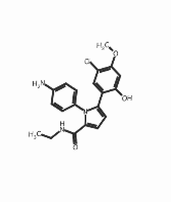 CCNC(=O)c1ccc(-c2cc(Cl)c(OC)cc2O)n1-c1ccc(N)cc1